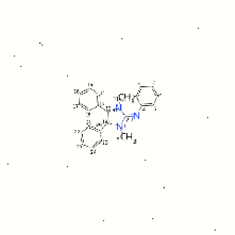 CN1C(=Nc2ccccc2)N(C)C(c2ccccc2)C1c1ccccc1